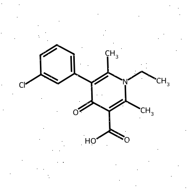 CCn1c(C)c(C(=O)O)c(=O)c(-c2cccc(Cl)c2)c1C